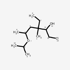 CCC(C)(CC(C)OC(C)C)C(O)CCl